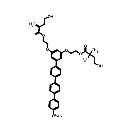 C=C(CCO)C(=O)OCCOc1cc(OCCOC(=O)C(C)(C)CCO)cc(-c2ccc(-c3ccc(-c4ccc(CCCCC)cc4)cc3)cc2)c1